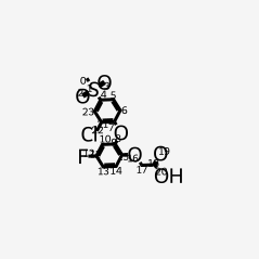 CS(=O)(=O)c1ccc(Oc2cc(F)ccc2OCC(=O)O)c(Cl)c1